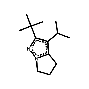 CC(C)c1c(C(C)(C)C)nn2c1CCC2